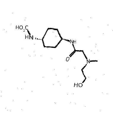 CN(CCO)CC(=O)N[C@H]1CC[C@H](NC(=O)O)CC1